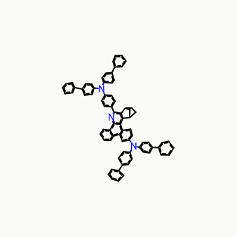 c1ccc(-c2ccc(N(c3ccc(-c4ccccc4)cc3)c3ccc(-c4nc5c6ccccc6c6cc(N(c7ccc(-c8ccccc8)cc7)c7ccc(-c8ccccc8)cc7)ccc6c5c5c4C4CCC5C4)cc3)cc2)cc1